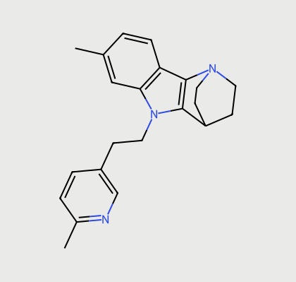 Cc1ccc2c3c(n(CCc4ccc(C)nc4)c2c1)C1CCN3CC1